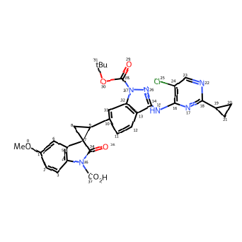 COc1ccc2c(c1)C1(CC1c1ccc3c(Nc4nc(C5CC5)ncc4Cl)nn(C(=O)OC(C)(C)C)c3c1)C(=O)N2C(=O)O